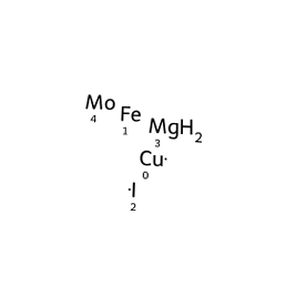 [Cu].[Fe].[I].[MgH2].[Mo]